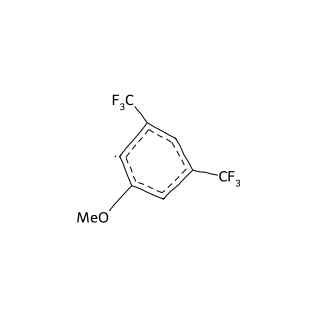 COc1[c]c(C(F)(F)F)cc(C(F)(F)F)c1